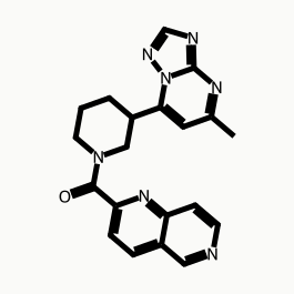 Cc1cc(C2CCCN(C(=O)c3ccc4cnccc4n3)C2)n2ncnc2n1